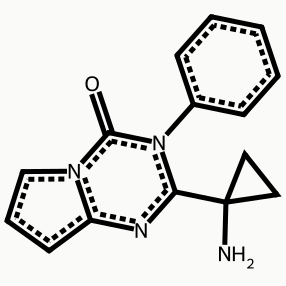 NC1(c2nc3cccn3c(=O)n2-c2ccccc2)CC1